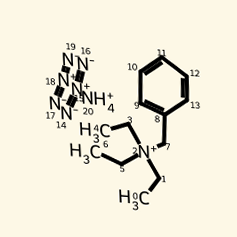 CC[N+](CC)(CC)Cc1ccccc1.[N-]=[N+]=[N-].[N-]=[N+]=[N-].[NH4+]